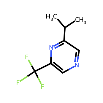 CC(C)c1cncc(C(F)(F)F)n1